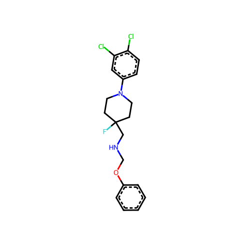 FC1(CNCOc2ccccc2)CCN(c2ccc(Cl)c(Cl)c2)CC1